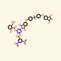 COc1cccc(CO)c1C(=O)Oc1nc(OC(=O)c2cc([N+](=O)[O-])cc([N+](=O)[O-])c2)nc(N2C(=O)c3ccc(Oc4ccc(C(C)(C)c5ccc(Oc6ccc7c(c6)C(=O)C(C)C7=O)cc5)cc4)cc3C2=O)n1